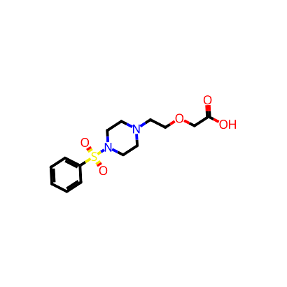 O=C(O)COCCN1CCN(S(=O)(=O)c2ccccc2)CC1